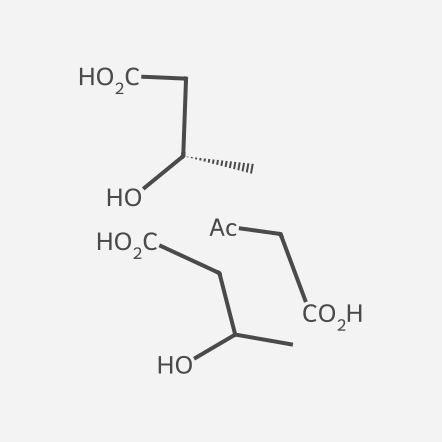 CC(=O)CC(=O)O.CC(O)CC(=O)O.C[C@H](O)CC(=O)O